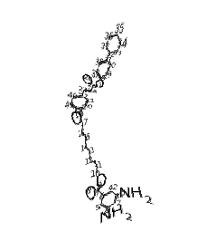 Nc1cc(N)cc(C(=O)OCCCCCCCCOc2ccc(C=CC(=O)Oc3ccc(C4CCCCC4)cc3)cc2)c1